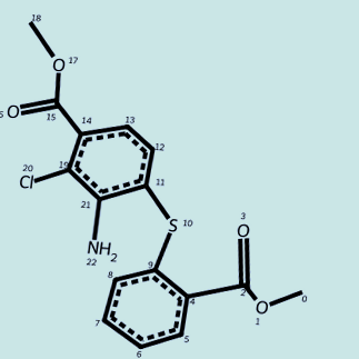 COC(=O)c1ccccc1Sc1ccc(C(=O)OC)c(Cl)c1N